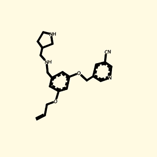 C=CCOc1cc(CNCC2CCNC2)cc(OCc2cncc(C#N)c2)c1